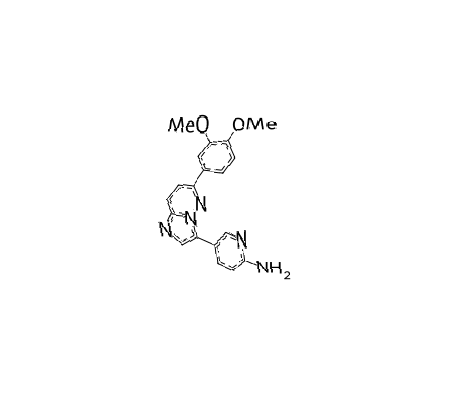 COc1ccc(-c2ccc3ncc(-c4ccc(N)nc4)n3n2)cc1OC